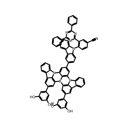 N#Cc1ccc(-n2c3ccccc3c3cc(-c4cc5c6c(c4)-n4c7ccccc7c7cc(-c8cc(O)cc(O)c8)cc(c74)B6c4cc(-c6cc(O)cc(O)c6)cc6c7ccccc7n-5c46)ccc32)c(-c2nc(-c3ccccc3)nc(-c3ccccc3)n2)c1